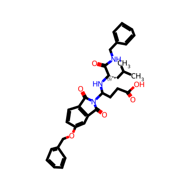 CC(C)C[C@H](NC(CCC(=O)O)N1C(=O)c2ccc(OCc3ccccc3)cc2C1=O)C(=O)NCc1ccccc1